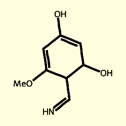 COC1=CC(O)=CC(O)C1C=N